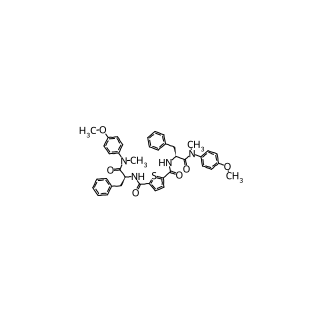 COc1ccc(N(C)C(=O)[C@H](Cc2ccccc2)NC(=O)c2ccc(C(=O)N[C@@H](Cc3ccccc3)C(=O)N(C)c3ccc(OC)cc3)s2)cc1